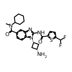 CN(C(=O)c1ccc2c(c1)nc(NC(=O)c1ccc(C(F)F)s1)n2[C@H]1C[C@@H](N)C1)C1CCCCC1